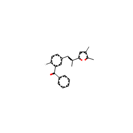 CC(=Cc1ccc([N+](=O)[O-])c(C(=O)c2ccccc2)c1)c1cc(C)c(C)o1